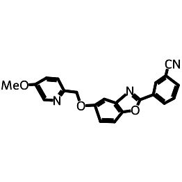 COc1ccc(COc2ccc3oc(-c4cccc(C#N)c4)nc3c2)nc1